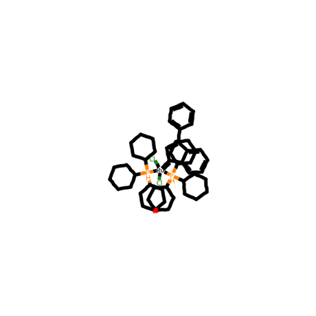 [Cl][Ru]([Cl])(=[C]1C=C(c2ccccc2)c2ccccc21)([PH](C1CCCCC1)(C1CCCCC1)C1CCCCC1)[PH](C1CCCCC1)(C1CCCCC1)C1CCCCC1